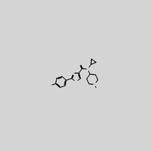 N#Cc1ccc(-c2nc(C(=O)N(C3CC3)C3CCN(C(=O)O)CC3)co2)cc1